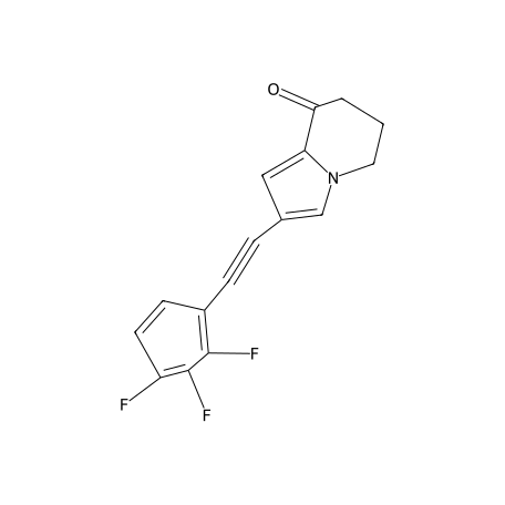 O=C1CCCn2cc(C#Cc3ccc(F)c(F)c3F)cc21